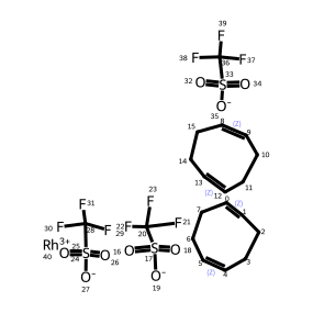 C1=C\CC/C=C\CC/1.C1=C\CC/C=C\CC/1.O=S(=O)([O-])C(F)(F)F.O=S(=O)([O-])C(F)(F)F.O=S(=O)([O-])C(F)(F)F.[Rh+3]